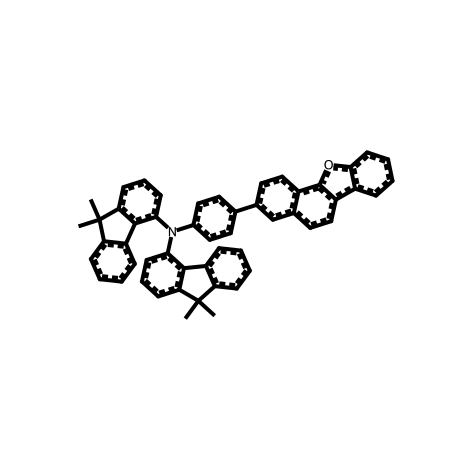 CC1(C)c2ccccc2-c2c(N(c3ccc(-c4ccc5c(ccc6c7ccccc7oc56)c4)cc3)c3cccc4c3-c3ccccc3C4(C)C)cccc21